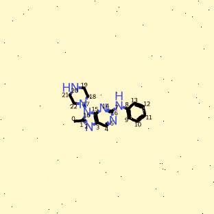 Cc1nc2cnc(Nc3ccccc3)nc2n1N1CCNCC1